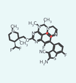 C[C@H](N1C=CN=CC1)N(C)c1nc(OC[C@]2(C)CN(C)CC[C@@H]2C(F)F)nc2c(F)c(-c3ccc(F)c4sc(N)c(C#N)c34)c(Cl)cc12